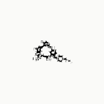 CCN1CCN(Cc2cnc3cc2NC(O)C[C@H](C)n2c(C)nc4c(F)cc(cc42)-c2nc(ncc2F)N3)CC1